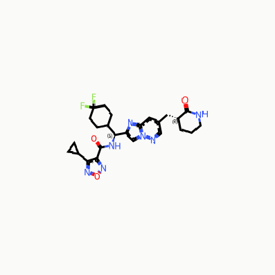 O=C(N[C@H](c1cn2ncc(C[C@H]3CCCNC3=O)cc2n1)C1CCC(F)(F)CC1)c1nonc1C1CC1